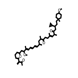 C=C(C(C)=O)C1CCCC(CC(OC)/C(C)=C/C=C/C=C/C(C)CC(C)C(=O)CC/C(C)=C/C(C)C(=O)CC(CCC2(C)CCC(OC)CC2)C2CC2)O1